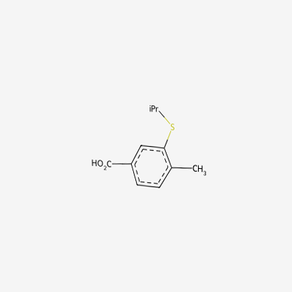 Cc1ccc(C(=O)O)cc1SC(C)C